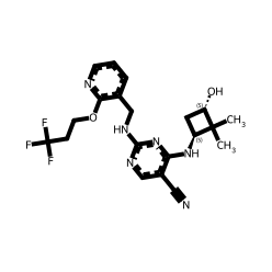 CC1(C)[C@@H](Nc2nc(NCc3cccnc3OCCC(F)(F)F)ncc2C#N)C[C@@H]1O